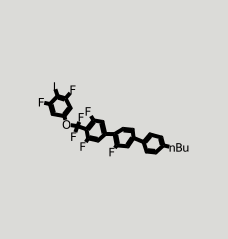 CCCCc1ccc(-c2ccc(-c3cc(F)c(C(F)(F)Oc4cc(F)c(I)c(F)c4)c(F)c3)c(F)c2)cc1